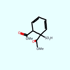 COC(=O)C1C=CC=CC1(C(=O)OC)S(=O)(=O)O